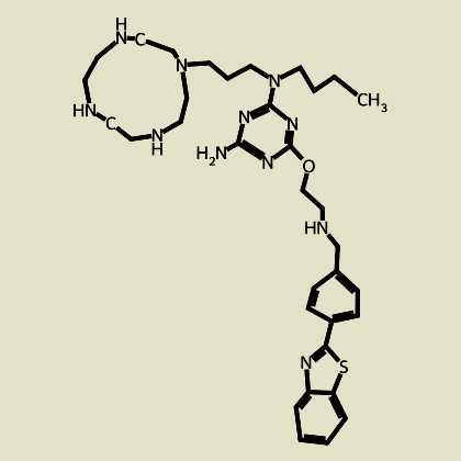 CCCCN(CCCN1CCNCCNCCNCC1)c1nc(N)nc(OCCNCc2ccc(-c3nc4ccccc4s3)cc2)n1